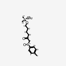 Cc1ccc([S@@+]([O-])CC(=O)CCCCO[Si](C)(C)C(C)(C)C)cc1